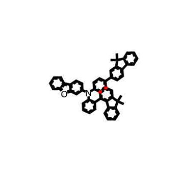 CC1(C)c2ccccc2-c2ccc(-c3ccc(N(c4ccc5c(c4)oc4ccccc45)c4ccccc4-c4cccc5c4-c4ccccc4C5(C)C)cc3)cc21